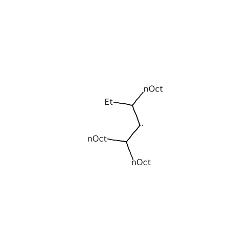 CCCCCCCCC([CH]C(CCCCCCCC)CCCCCCCC)CC